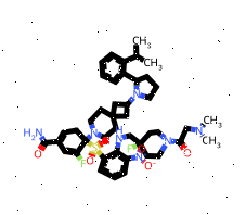 CC(C)c1ccccc1C1CCCN1C1CC2(CCN(C3(S(=O)(=O)c4cccc([N+](=O)[O-])c4NCC4(F)CCN(C(=O)CN(C)C)CC4)CC=C(C(N)=O)C=C3F)CC2)C1